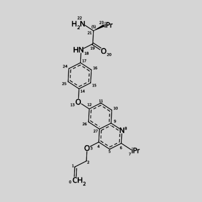 C=CCOc1cc(C(C)C)nc2ccc(Oc3ccc(NC(=O)[C@@H](N)C(C)C)cc3)cc12